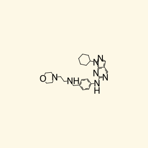 c1cc(Nc2ncc3cnn(C4CCCCC4)c3n2)ccc1CNCCN1CCOCC1